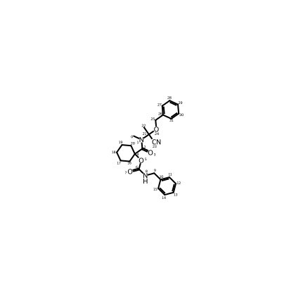 CN(C(=O)C1(OC(=O)NCc2ccccc2)CCCCC1)C(C)(C#N)OCc1ccccc1